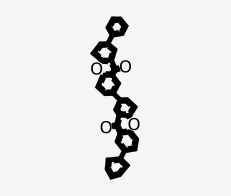 O=c1c2cc(-c3ccccc3)ccc2oc2ccc(-c3ccc4oc5ccc(-c6ccccc6)cc5c(=O)c4c3)cc12